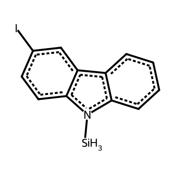 [SiH3]n1c2ccccc2c2cc(I)ccc21